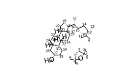 CC(C)(C)OC(C)(C)C.CC(C)[C@@H](C)CC[C@@H](C)[C@H]1CC[C@H]2[C@@H]3CC[C@H]4C[C@@H](O)CC[C@]4(C)[C@H]3CC[C@]12C